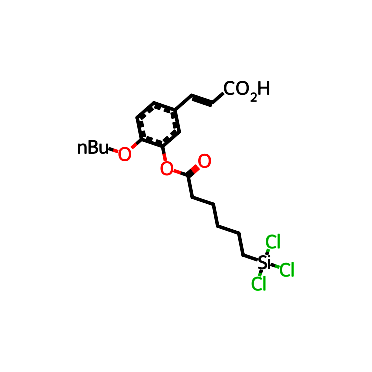 CCCCOc1ccc(C=CC(=O)O)cc1OC(=O)CCCCC[Si](Cl)(Cl)Cl